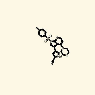 Cc1ccc(S(=O)(=O)n2cc(-c3c[nH]c(C#N)c3)c3c(N4CCOCC4)ccnc32)cc1